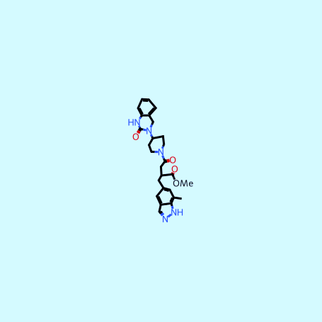 COC(=O)C(CC(=O)N1CCC(N2Cc3ccccc3NC2=O)CC1)Cc1cc(C)c2[nH]ncc2c1